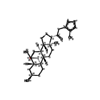 Cc1cnnn1CC(=O)[C@H]1CC[C@H]2[C@@H]3CC[C@H]4C[C@H](O)CC[C@]4(CCO)[C@H]3CC[C@]12C